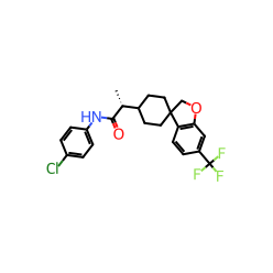 C[C@@H](C(=O)Nc1ccc(Cl)cc1)C1CCC2(CC1)COc1cc(C(F)(F)F)ccc12